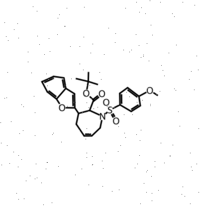 COc1ccc(S(=O)(=O)N2CC=CCC(c3cc4ccccc4o3)C2C(=O)OC(C)(C)C)cc1